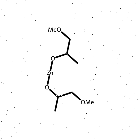 COCC(C)[O][Zn][O]C(C)COC